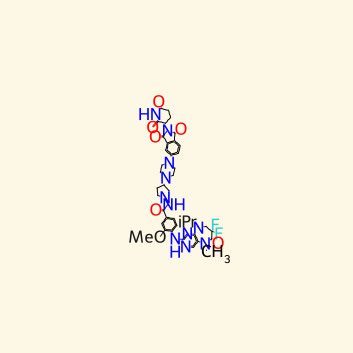 COc1cc(C(=O)NN2CCC(N3CCN(c4ccc5c(c4)C(=O)N(C4CCC(=O)NC4=O)C5=O)CC3)C2)ccc1Nc1ncc2c(n1)N(C(C)C)CC(F)(F)C(=O)N2C